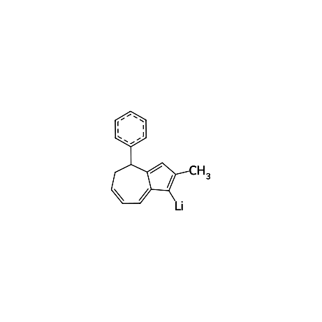 [Li][C]1=C(C)C=C2C1=CC=CCC2c1ccccc1